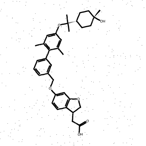 Cc1cc(OC(C)(C)[C@H]2CC[C@@](C)(O)CC2)cc(C)c1-c1cccc(COc2ccc3c(c2)OCC3CC(=O)O)c1